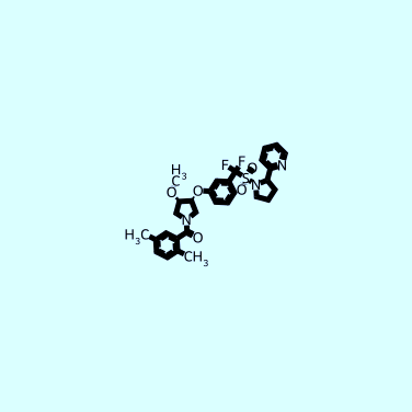 CO[C@@H]1CN(C(=O)c2cc(C)ccc2C)C[C@H]1Oc1cccc(C(F)(F)S(=O)(=O)N2CCCC2c2ccccn2)c1